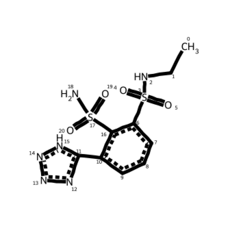 CCNS(=O)(=O)c1cccc(-c2nnn[nH]2)c1S(N)(=O)=O